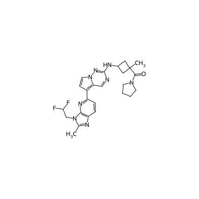 Cc1nc2ccc(-c3ccn4nc(NC5CC(C)(C(=O)N6CCCC6)C5)ncc34)nc2n1CC(F)F